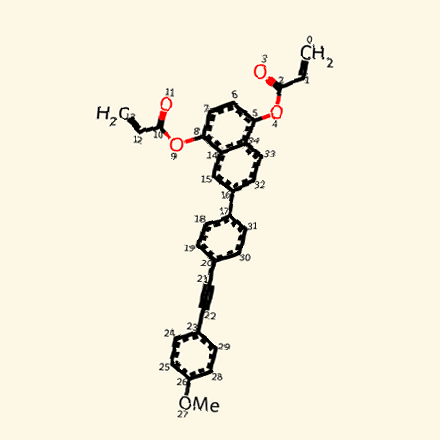 C=CC(=O)Oc1ccc(OC(=O)C=C)c2cc(-c3ccc(C#Cc4ccc(OC)cc4)cc3)ccc12